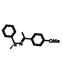 COc1ccc(C(C)=N[C@H](C)c2ccccc2)cc1